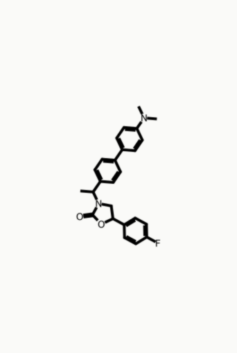 CC(c1ccc(-c2ccc(N(C)C)cc2)cc1)N1CC(c2ccc(F)cc2)OC1=O